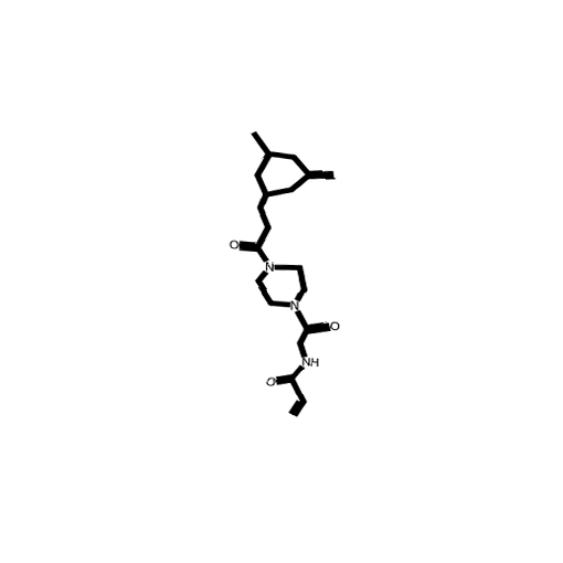 C=CC(=O)NCC(=O)N1CCN(C(=O)CCC2CC(=C)CC(C)C2)CC1